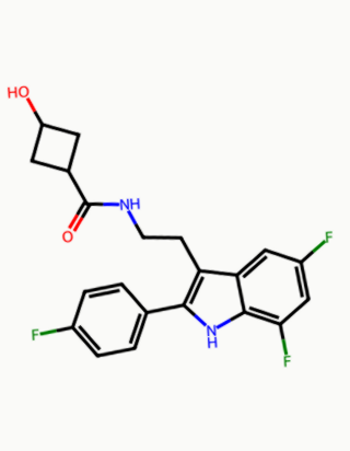 O=C(NCCc1c(-c2ccc(F)cc2)[nH]c2c(F)cc(F)cc12)C1CC(O)C1